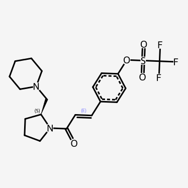 O=C(/C=C/c1ccc(OS(=O)(=O)C(F)(F)F)cc1)N1CCC[C@H]1CN1CCCCC1